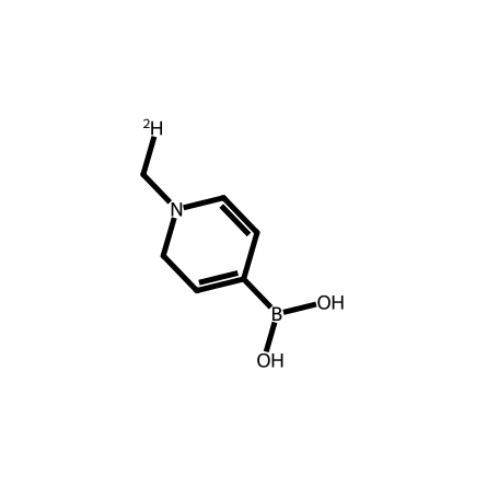 [2H]CN1C=CC(B(O)O)=CC1